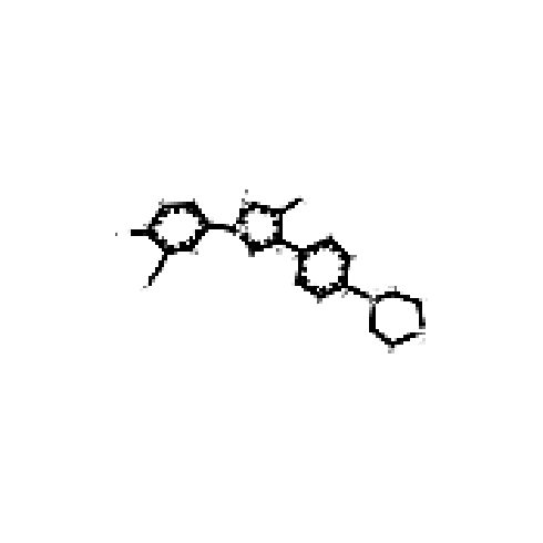 Cc1nn(-c2ccc(F)c(F)c2)cc1-c1ccc(N2CCOCC2)cc1